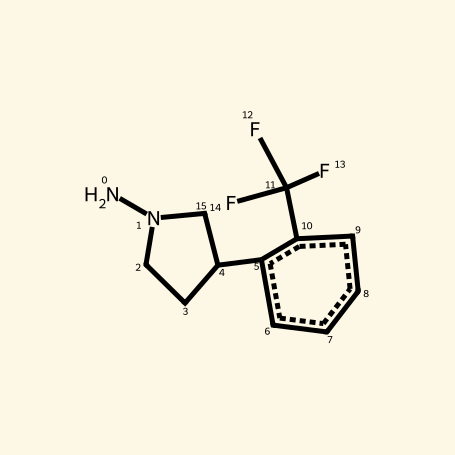 NN1CCC(c2ccccc2C(F)(F)F)C1